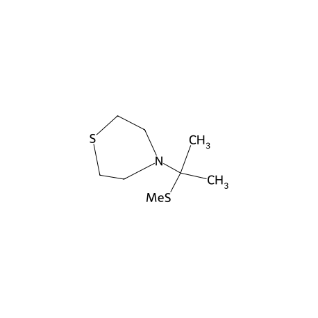 CSC(C)(C)N1CCSCC1